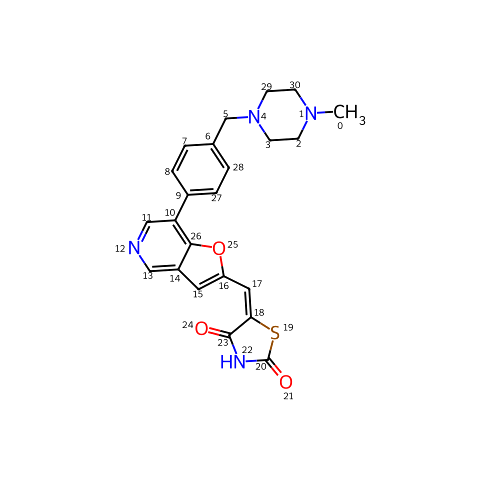 CN1CCN(Cc2ccc(-c3cncc4cc(C=C5SC(=O)NC5=O)oc34)cc2)CC1